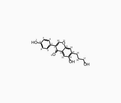 O=c1c(-c2ccc(O)cc2)coc2cc(CCCO)c(O)cc12